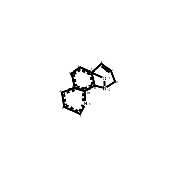 C1=Cc2c3cc4cccnc4c2N(C1)O3